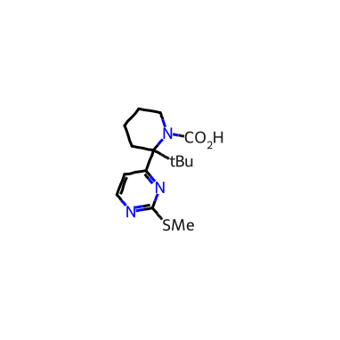 CSc1nccc(C2(C(C)(C)C)CCCCN2C(=O)O)n1